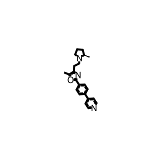 Cc1oc(-c2ccc(-c3ccncc3)cc2)nc1CCN1CCC[C@H]1C